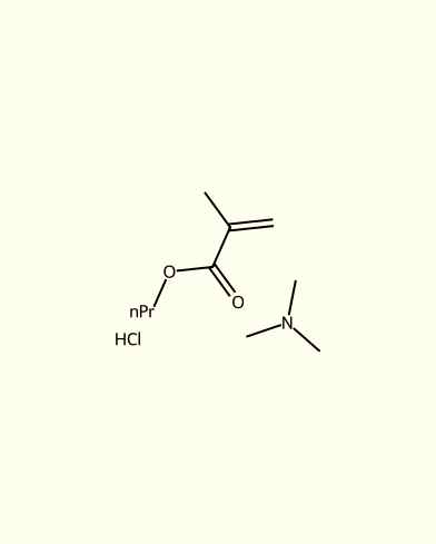 C=C(C)C(=O)OCCC.CN(C)C.Cl